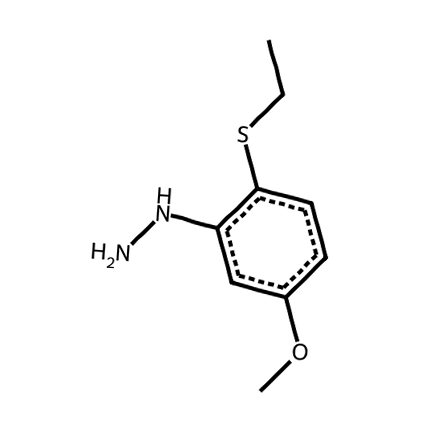 CCSc1ccc(OC)cc1NN